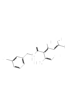 C\C=C(N)/C(C(=O)NCc1cccc(Cl)c1)=C(C)\C=C(/C)I